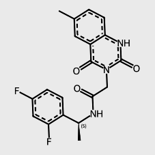 Cc1ccc2[nH]c(=O)n(CC(=O)N[C@@H](C)c3ccc(F)cc3F)c(=O)c2c1